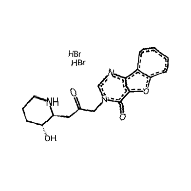 Br.Br.O=C(C[C@@H]1NCCC[C@H]1O)Cn1cnc2c(oc3ccccc32)c1=O